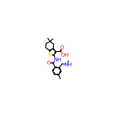 CNCc1cc(C)ccc1C(=O)Nc1sc2c(c1C(=O)O)CC(C)(C)CC2